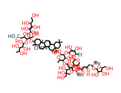 CCC(OC1CC(O)(OC2OCC(O)(CO)C2O)C(O)CO1)/C(O)=C(/O)C(O)OC1C(OC(=O)[C@]23CCC(C)(C)CC2C2=CCC4[C@@]5(C)CC[C@H](OC(CO)(OC(O)/C(O)=C(\O)C(O)CCO)C(OC(O)C(O)C(O)C(C)O)C(O)CC(=O)O)[C@@](C)(C=O)C5CC[C@@]4(C)[C@]2(C)C[C@H]3O)OC(C)C(OC(=O)C[C@@H](O)C[C@H](OC(=O)C[C@@H](O)C[C@H](OC2OC(CO)C(O)C2O)[C@@H](C)CC)[C@@H](C)CC)C1O